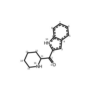 O=C(c1cc2ccccc2[nH]1)C1CCCCN1